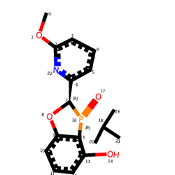 COc1cccc([C@@H]2Oc3cccc(O)c3[P@]2(=O)C(C)(C)C)n1